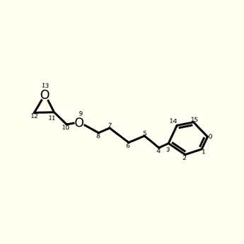 c1ccc(CCCCCOCC2CO2)cc1